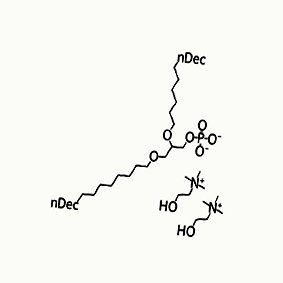 CCCCCCCCCCCCCCCCCCOCC(COP(=O)([O-])[O-])OCCCCCCCCCCCCCCCC.C[N+](C)(C)CCO.C[N+](C)(C)CCO